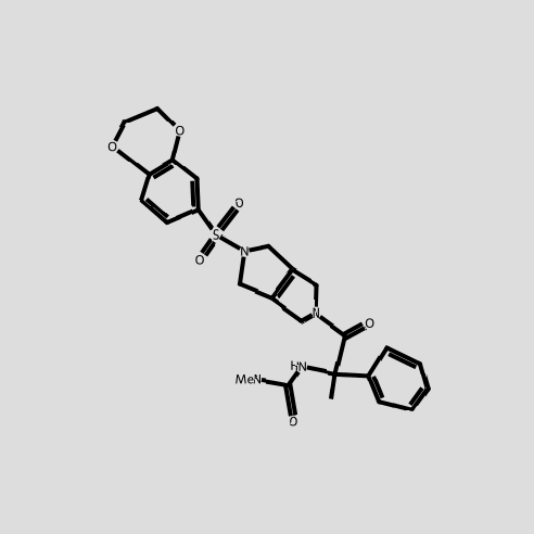 CNC(=O)NC(C)(C(=O)N1CC2=C(C1)CN(S(=O)(=O)c1ccc3c(c1)OCCO3)C2)c1ccccc1